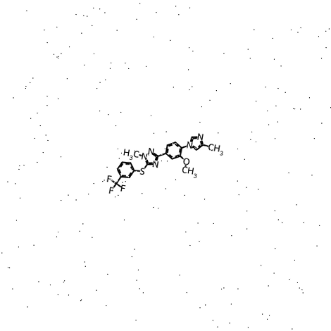 COc1cc(-c2nc(Sc3cccc(C(F)(F)F)c3)n(C)n2)ccc1-n1cnc(C)c1